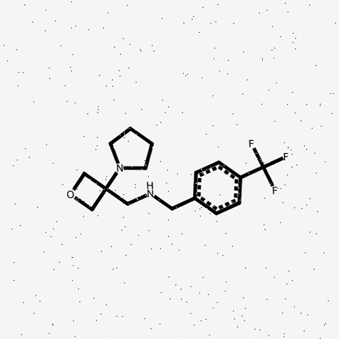 FC(F)(F)c1ccc(CNCC2(N3CCCC3)COC2)cc1